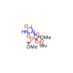 CO[C@H]1O[C@@H](n2cc(C)c(=O)[nH]c2=O)C(OC[C@H](C)OC)[C@H]1OC(=O)C(C)(C)C